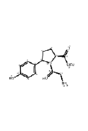 COC(=O)[C@@H]1CCC(c2ccc(O)cc2)N1C(=O)CN